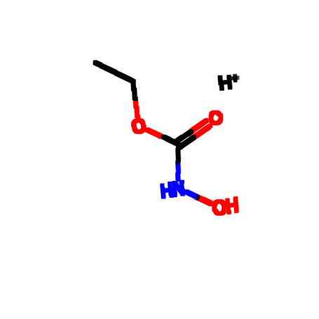 CCOC(=O)NO.[H+]